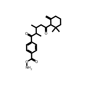 C=C1CCCC(C)(C)C1C(=O)CC(C)C(C)C(=O)c1ccc(C(=O)ON)cc1